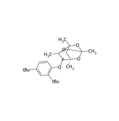 CC12C[C@@]3(C)OC(C)(CC(C)(O1)P3Oc1ccc(C(C)(C)C)cc1C(C)(C)C)O2